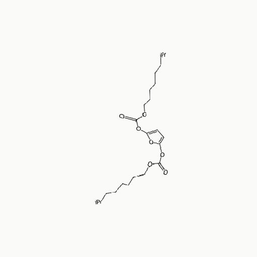 CC(C)CCCCCCOC(=O)Oc1ccc(OC(=O)OCCCCCCC(C)C)o1